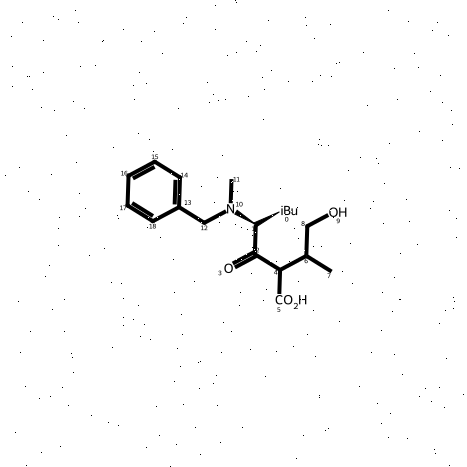 CC[C@H](C)[C@@H](C(=O)C(C(=O)O)C(C)CO)N(C)Cc1ccccc1